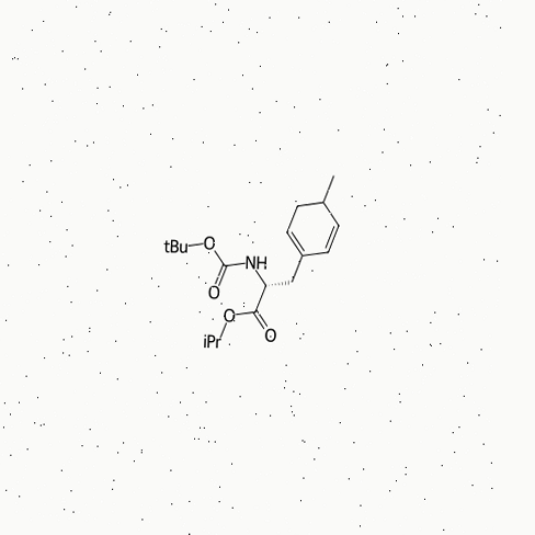 CC1C=CC(C[C@@H](NC(=O)OC(C)(C)C)C(=O)OC(C)C)=CC1